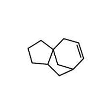 C1=CC2CC3CCCC3(C1)C2